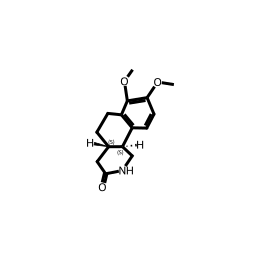 COc1ccc2c(c1OC)CC[C@H]1CC(=O)NC[C@H]21